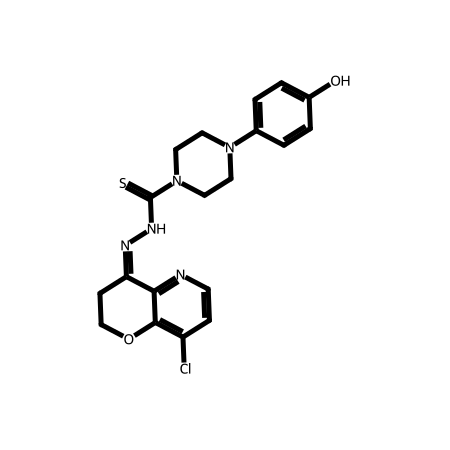 Oc1ccc(N2CCN(C(=S)N/N=C3/CCOc4c(Cl)ccnc43)CC2)cc1